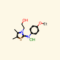 CCOc1ccc(N=c2sc(C)c(C)n2CCO)cc1.Cl